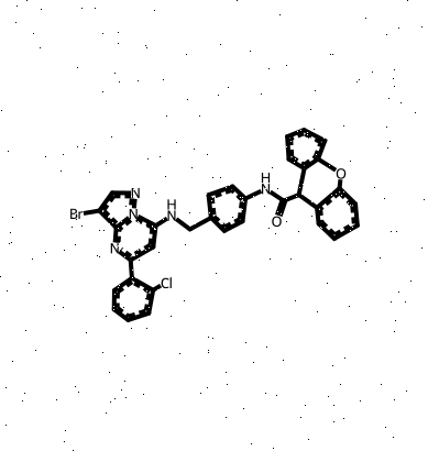 O=C(Nc1ccc(CNc2cc(-c3ccccc3Cl)nc3c(Br)cnn23)cc1)C1c2ccccc2Oc2ccccc21